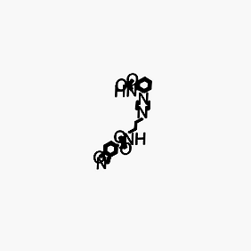 O=c1[nH]c2c(N3CCN(CCCCNS(=O)(=O)c4ccc5oncc5c4)CC3)cccc2o1